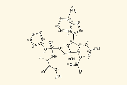 CCCOC(=O)[C@H](C)NP(=O)(OC[C@@]1(C#N)O[C@@H](c2ccc3c(N)ccnn23)[C@H](OC(=O)CC)[C@@H]1OC(=O)CC)Oc1ccccc1